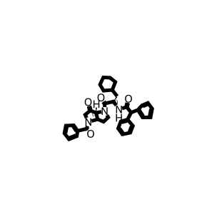 O=C(N[C@@H](CC1CCCCC1)C(=O)N1CCC2[C@H]1C(=O)CN2C(=O)c1ccccc1)C(c1ccccc1)c1ccccc1